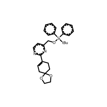 CC(C)(C)[Si](OCc1ccnc(C2=CCC3(CC2)OCCO3)n1)(c1ccccc1)c1ccccc1